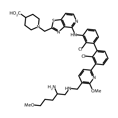 COCCCC(N)CNCc1ccc(-c2cccc(-c3cccc(Nc4nccc5sc(CN6CCC(C(=O)O)CC6)nc45)c3Cl)c2Cl)nc1OC